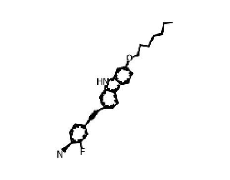 CCCCCCCOc1ccc2c(c1)[nH]c1cc(C#Cc3ccc(C#N)c(F)c3)ccc12